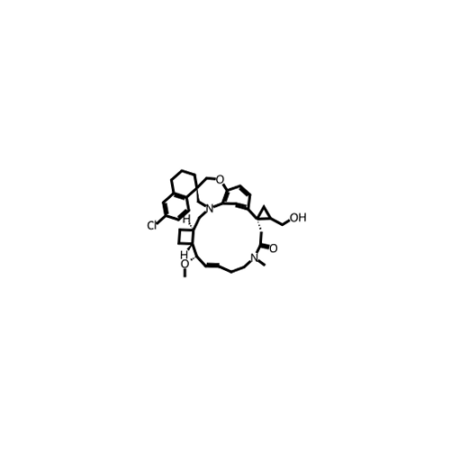 CO[C@H]1/C=C/CCN(C)C(=O)C[C@@]2(CC2CO)c2ccc3c(c2)N(C[C@@H]2CC[C@H]21)C[C@@]1(CCCc2cc(Cl)ccc21)CO3